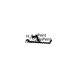 CCCCC/C=C\C/C=C\CCCCCCCCC(CCCCCCCC/C=C\C/C=C\CCCCC)OC(=O)OCCN(CCCCC)CCN(C)C